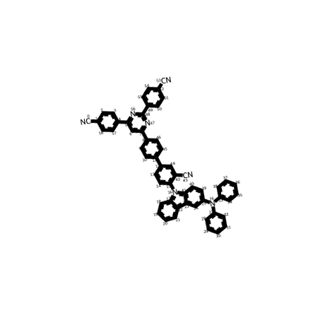 N#Cc1ccc(-c2cc(-c3ccc(-c4ccc(-n5c6ccccc6c6cc(N(c7ccccc7)c7ccccc7)ccc65)c(C#N)c4)cc3)nc(-c3ccc(C#N)cc3)n2)cc1